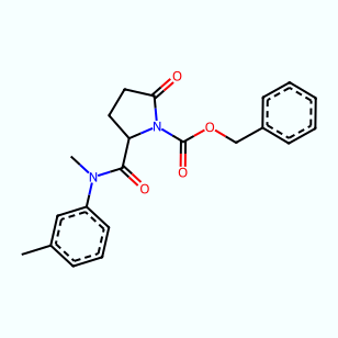 Cc1cccc(N(C)C(=O)C2CCC(=O)N2C(=O)OCc2ccccc2)c1